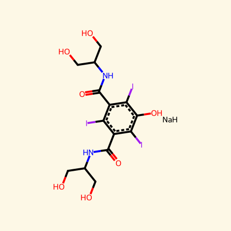 O=C(NC(CO)CO)c1c(I)c(O)c(I)c(C(=O)NC(CO)CO)c1I.[NaH]